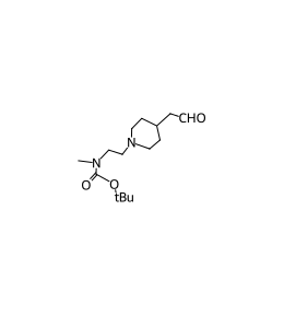 CN(CCN1CCC(CC=O)CC1)C(=O)OC(C)(C)C